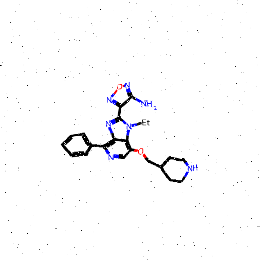 CCn1c(-c2nonc2N)nc2c(-c3ccccc3)ncc(OCC3CCNCC3)c21